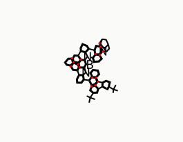 CC(C)(C)c1ccc2c(c1)-c1cc(C(C)(C)C)ccc1C2c1ccc2c(c1)N(c1c(-c3ccccc3)cccc1-c1ccccc1)c1cc(-c3ccccc3)cc3c1B2c1ccc(N2C4CC5CC(C4)CC2C5)cc1N3c1c(-c2ccccc2)cccc1-c1ccccc1